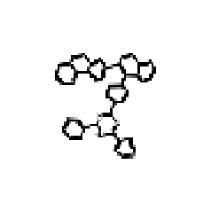 c1ccc(C2=NC(c3ccc(-c4c(-c5ccc6c(ccc7ccccc76)c5)ccc5ccccc45)cc3)=NC(c3ccccc3)N2)cc1